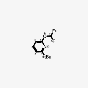 CC(C)(C)c1cccc(OC(F)F)n1